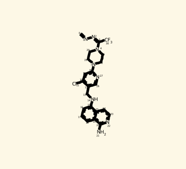 C=N/N=C(\N1CCN(c2cc(Cl)c(CNc3cccc4c(N)nccc34)cn2)CC1)C(F)(F)F